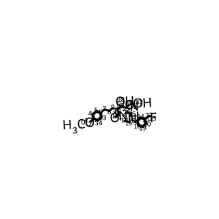 CCOc1ccc(CCC[C@@H](C(=O)N2CCN(c3cccc(CF)c3)CC2)[C@H](O)CONO)cc1